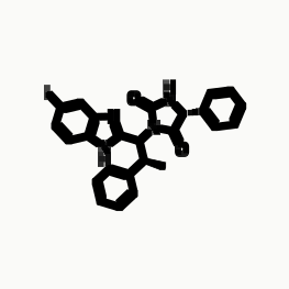 C[C@@H](c1ccccc1)C(c1nc2cc(I)ccc2[nH]1)N1C(=O)N[C@H](c2ccccc2)C1=O